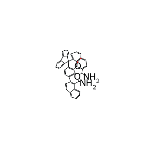 NC(OC(N)c1c(-c2ccc3c(c2)Oc2ccccc2C32c3ccccc3-c3ccccc32)ccc2ccccc12)c1ccccc1